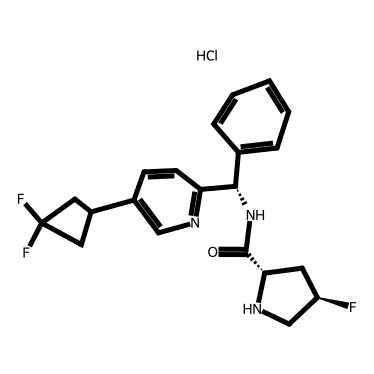 Cl.O=C(N[C@@H](c1ccccc1)c1ccc(C2CC(F)(F)C2)cn1)[C@@H]1C[C@@H](F)CN1